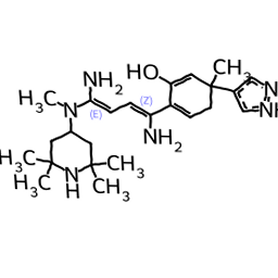 CN(/C(N)=C/C=C(\N)C1=CCC(C)(c2cn[nH]c2)C=C1O)C1CC(C)(C)NC(C)(C)C1